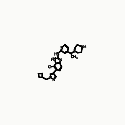 CC(c1ccnc(Nc2nc3ccc(-c4cnn(CC5CCC5)c4)c(Cl)c3[nH]2)c1)N1CCNCC1